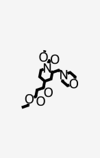 CCOC(=O)CC(=O)C1CCN(C(=O)OC)C(CN2CCOCC2)C1